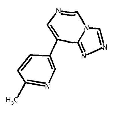 Cc1ccc(-c2cncn3cnnc23)cn1